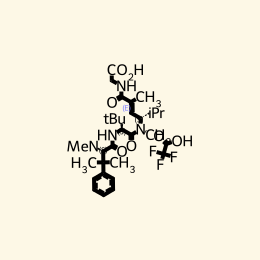 CN[C@H](C(=O)N[C@H](C(=O)N(C)[C@H](/C=C(\C)C(=O)NCC(=O)O)C(C)C)C(C)(C)C)C(C)(C)c1ccccc1.O=C(O)C(F)(F)F